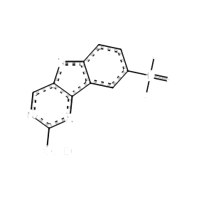 CCOC(=O)c1ncc2[nH]c3ccc(P(=O)(CC)CC)cc3c2n1